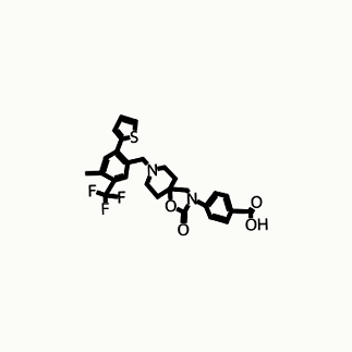 Cc1cc(-c2cccs2)c(CN2CCC3(CC2)CN(c2ccc(C(=O)O)cc2)C(=O)O3)cc1C(F)(F)F